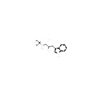 NC(CNC1(C(=O)O)COC1)Cc1c[nH]c2ccccc12